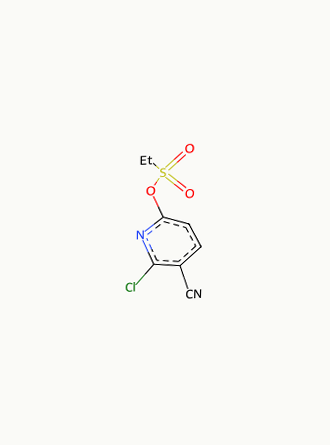 CCS(=O)(=O)Oc1ccc(C#N)c(Cl)n1